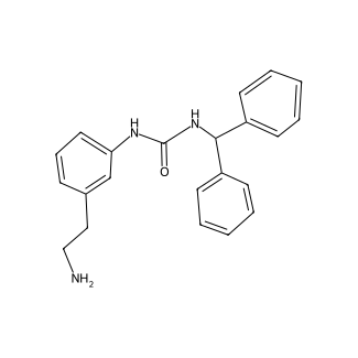 NCCc1cccc(NC(=O)NC(c2ccccc2)c2ccccc2)c1